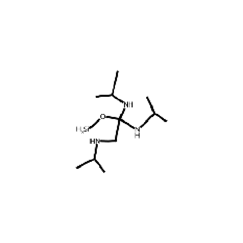 CC(C)NCC(NC(C)C)(NC(C)C)O[SiH3]